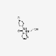 O=C(Nc1ccc(Cl)cc1)c1cccnc1NCCO